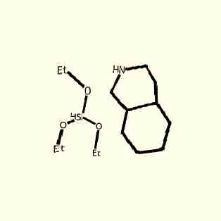 C1CCC2CNCCC2C1.CCO[SiH](OCC)OCC